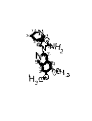 COc1cc2cnc(N3CC4(CN5CCC4CC5)OC3N)cc2cc1OC